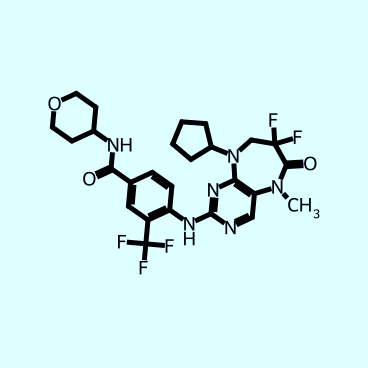 CN1C(=O)C(F)(F)CN(C2CCCC2)c2nc(Nc3ccc(C(=O)NC4CCOCC4)cc3C(F)(F)F)ncc21